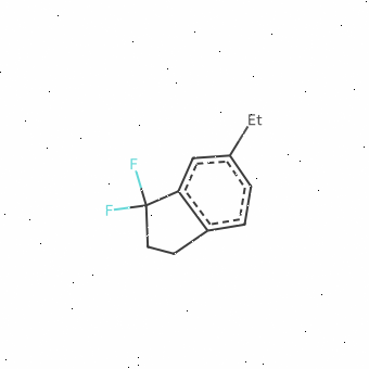 CCc1ccc2c(c1)C(F)(F)CC2